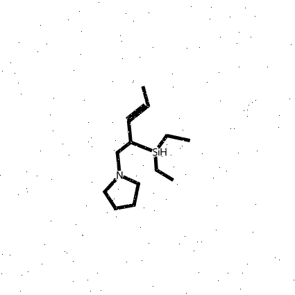 CC=CC(CN1CCCC1)[SiH](CC)CC